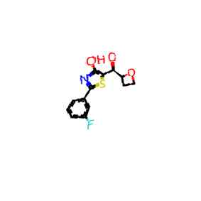 O=C(c1sc(-c2cccc(F)c2)nc1O)C1CCO1